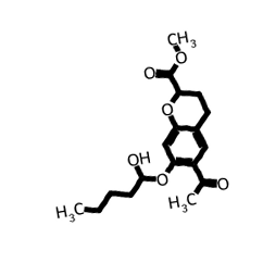 CCCCC(O)Oc1cc2c(cc1C(C)=O)CCC(C(=O)OC)O2